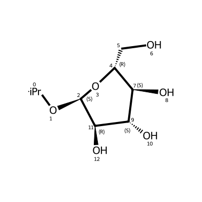 C[C](C)O[C@H]1O[C@H](CO)[C@@H](O)[C@H](O)[C@H]1O